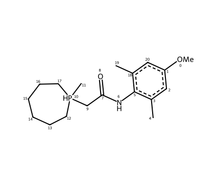 COc1cc(C)c(NC(=O)C[PH]2(C)CCCCCC2)c(C)c1